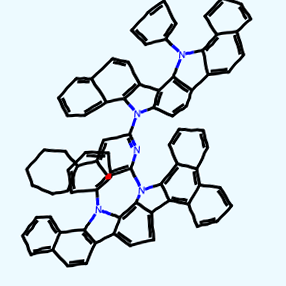 c1ccc(-n2c3c4ccccc4ccc3c3ccc4c(c5ccc6ccccc6c5n4-c4cc(C5CCCCCC5)cc(-n5c6c7ccccc7c7ccccc7c6c6ccc7c8ccc9ccccc9c8n(-c8ccccc8)c7c65)n4)c32)cc1